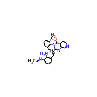 C/C=N/c1cccc(/C=C/c2nc3cnccc3c(=O)n2-c2c(C)cccc2C)c1N